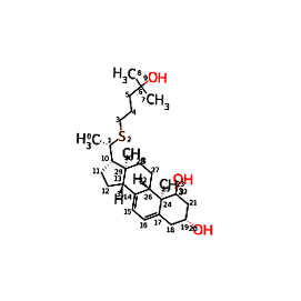 C[C@H](SCCCC(C)(C)O)[C@H]1CC[C@H]2C3=CC=C4C[C@@H](O)C[C@H](O)[C@]4(C)[C@H]3CC[C@]12C